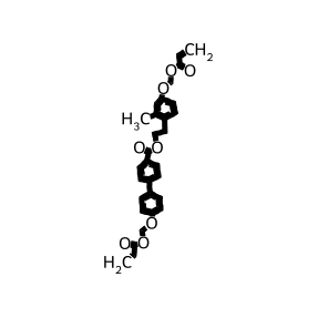 C=CC(=O)OCOc1ccc(-c2ccc(C(=O)OCCc3ccc(OCOC(=O)C=C)cc3C)cc2)cc1